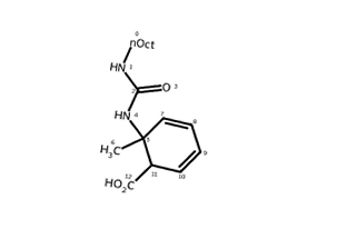 CCCCCCCCNC(=O)NC1(C)C=CC=CC1C(=O)O